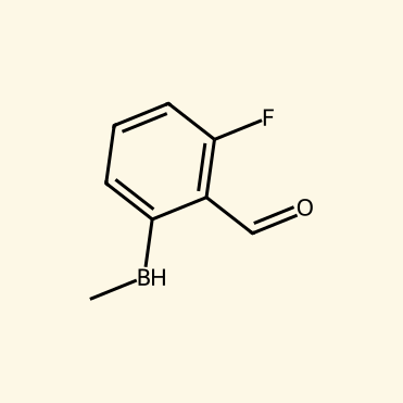 CBc1cccc(F)c1C=O